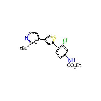 CCOC(=O)Nc1ccc(-c2cc(-c3ccnc(C(C)(C)C)c3)cs2)c(Cl)c1